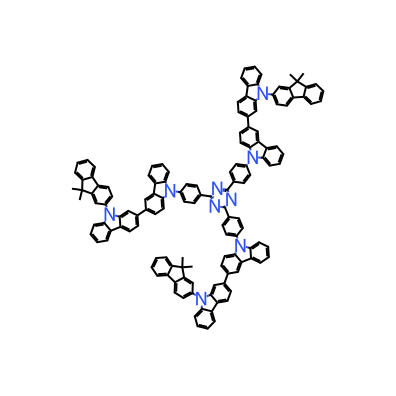 CC1(C)c2ccccc2-c2ccc(-n3c4ccccc4c4ccc(-c5ccc6c(c5)c5ccccc5n6-c5ccc(-c6nc(-c7ccc(-n8c9ccccc9c9cc(-c%10ccc%11c%12ccccc%12n(-c%12ccc%13c(c%12)C(C)(C)c%12ccccc%12-%13)c%11c%10)ccc98)cc7)nc(-c7ccc(-n8c9ccccc9c9cc(-c%10ccc%11c%12ccccc%12n(-c%12ccc%13c(c%12)C(C)(C)c%12ccccc%12-%13)c%11c%10)ccc98)cc7)n6)cc5)cc43)cc21